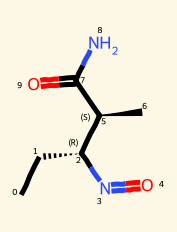 CC[C@@H](N=O)[C@H](C)C(N)=O